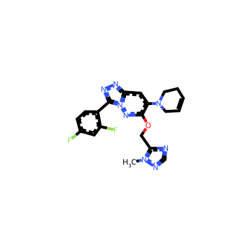 Cn1ncnc1COc1nn2c(-c3ccc(F)cc3F)nnc2cc1N1CC=CCC1